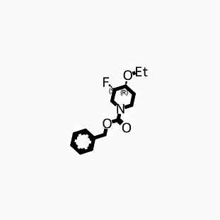 CCO[C@@H]1CCN(C(=O)OCc2ccccc2)C[C@@H]1F